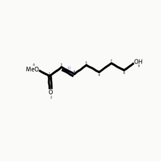 COC(=O)/C=C/CCCCO